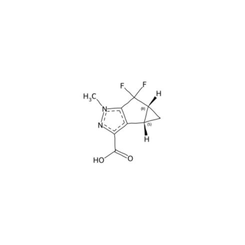 Cn1nc(C(=O)O)c2c1C(F)(F)[C@@H]1C[C@H]21